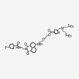 CCSCCN(CCSCC)Cc1cn(C(=O)OCCOCCNc2ccc3c4c(cccc24)C(=O)N(CCNC(=O)c2ccc(F)cc2)C3=O)cn1